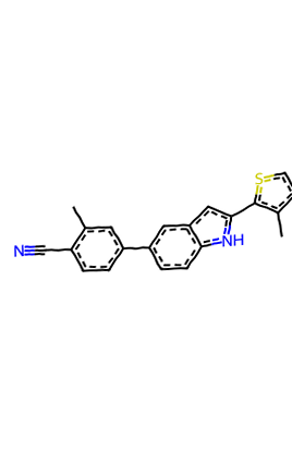 Cc1cc(-c2ccc3[nH]c(-c4sccc4C)cc3c2)ccc1C#N